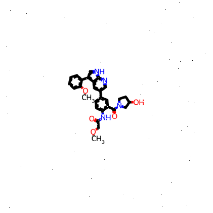 COCC(=O)Nc1ccc(-c2cnc3[nH]cc(-c4ccccc4OC)c3c2)cc1C(=O)N1CCC(O)C1